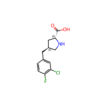 O=C(O)[C@H]1C[C@H](Cc2ccc(F)c(Cl)c2)CN1